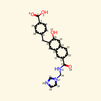 O=C(O)c1ccc(Cc2cc3cc(C(=O)NCn4ccnc4)ccc3cc2O)cc1